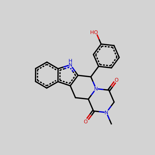 CN1CC(=O)N2C(Cc3c([nH]c4ccccc34)C2c2cccc(O)c2)C1=O